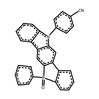 N#Cc1ccc(-n2c3ccccc3c3cc4c(cc32)-c2ccccc2P4(=O)c2ccccc2)cc1